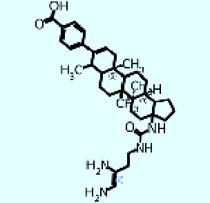 CC1C(c2ccc(C(=O)O)cc2)=CC[C@@]2(C)C1CCC1(C)C2CC[C@@H]2C3CCCC3(NC(=O)NCC/C(N)=C/N)CC[C@]21C